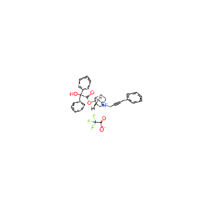 O=C(O[C@H]1C[N+]2(CC#Cc3ccccc3)CCC1CC2)C(O)(c1ccccc1)c1ccccc1.O=C([O-])C(F)(F)F